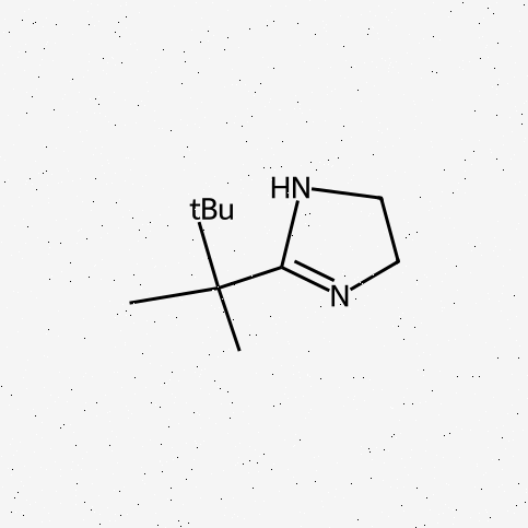 CC(C)(C)C(C)(C)C1=NCCN1